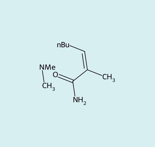 CCCCC=C(C)C(N)=O.CNC